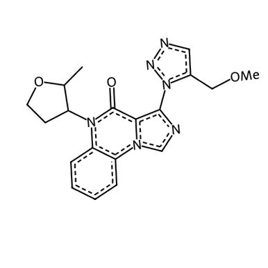 COCc1cnnn1-c1ncn2c1c(=O)n(C1CCOC1C)c1ccccc12